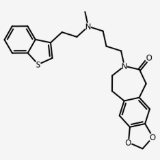 CN(CCCN1CCc2cc3c(cc2CC1=O)OCO3)CCc1csc2ccccc12